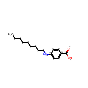 CCCCCCCCCNc1ccc(C(=O)O)cc1